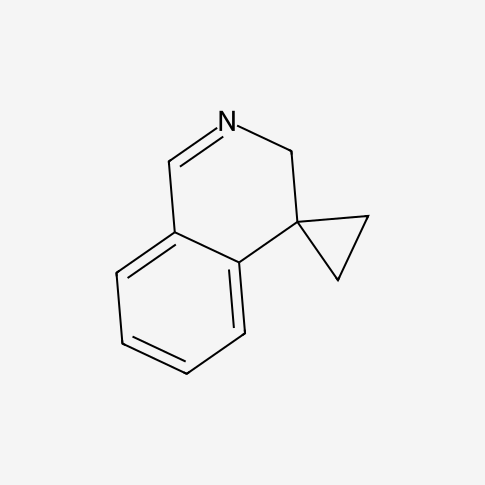 C1=NCC2(CC2)c2ccccc21